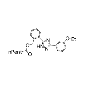 CCCCCC(=O)OCc1ccccc1-c1nc(-c2cccc(OCC)c2)n[nH]1